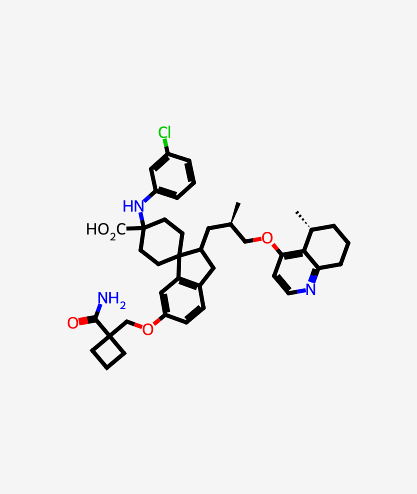 C[C@@H](COc1ccnc2c1[C@H](C)CCC2)CC1Cc2ccc(OCC3(C(N)=O)CCC3)cc2C12CCC(Nc1cccc(Cl)c1)(C(=O)O)CC2